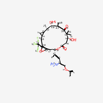 C=C(C)O/C=C(N)/C=C(\C)[C@@H]1CC2OC2(C(F)(F)F)CC2CC2[C@H](C)[C@H](O)[C@@H](C)C(=O)C(C)(C)[C@@H](O)CC(=O)O1